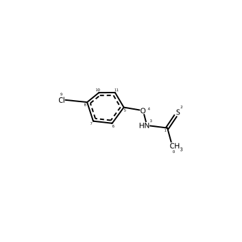 CC(=S)NOc1ccc(Cl)cc1